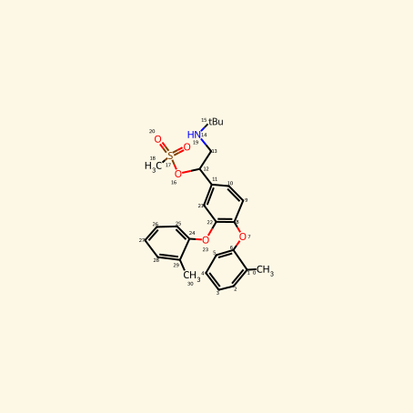 Cc1ccccc1Oc1ccc(C(CNC(C)(C)C)OS(C)(=O)=O)cc1Oc1ccccc1C